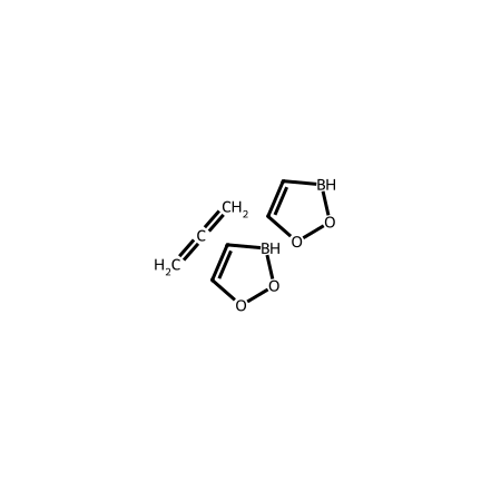 B1C=COO1.B1C=COO1.C=C=C